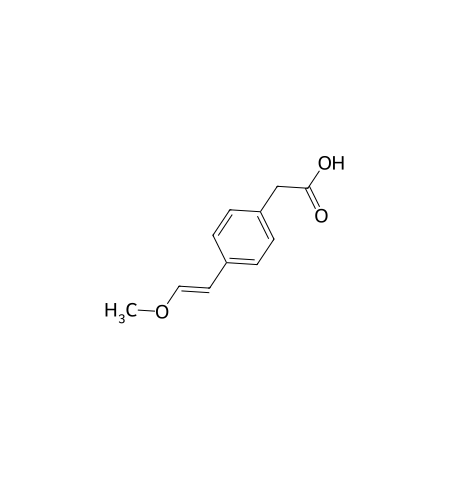 COC=Cc1ccc(CC(=O)O)cc1